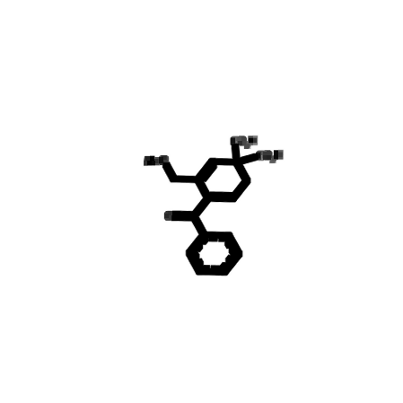 COCC1=CC(C(=O)O)(C(=O)O)CC=C1C(=O)c1ccccc1